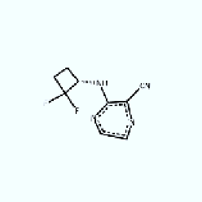 N#Cc1nccnc1N[C@H]1C[CH]C1(F)F